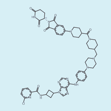 O=C1CC[C@H](N2C(=O)c3ccc(N4CCC(C(=O)N5CCC(CN6CCN(c7ccc(Nc8ncnc9c8ncn9C8CC(NC(=O)c9cccc(Cl)n9)C8)cc7)CC6)CC5)CC4)cc3C2=O)C(=O)N1